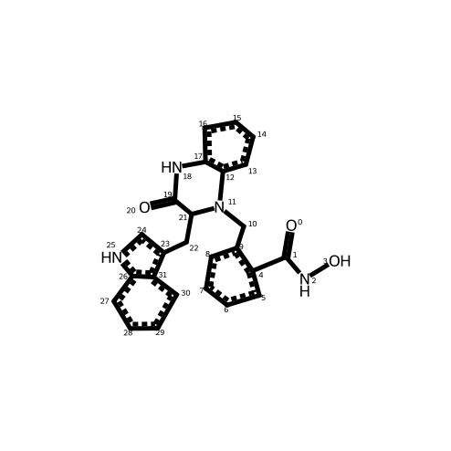 O=C(NO)c1ccccc1CN1c2ccccc2NC(=O)C1Cc1c[nH]c2ccccc12